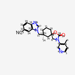 Cc1ccncc1N1C[C@@]2(CCC[C@](C)(Cn3cnc4ccc(C#N)cc43)C2)OC1=O